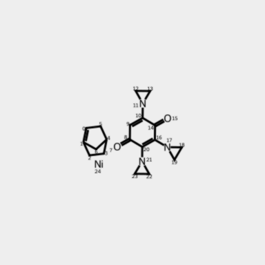 C1=C2CCC(C1)C2.O=C1C=C(N2CC2)C(=O)C(N2CC2)=C1N1CC1.[Ni]